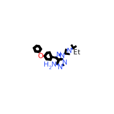 CCC(C)(C)N1CC(n2nc(-c3ccc(Oc4ccccc4)cc3)c3c(N)ncnc32)C1